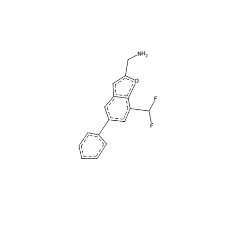 NCc1cc2cc(-c3cc[c]cc3)cc(C(F)F)c2o1